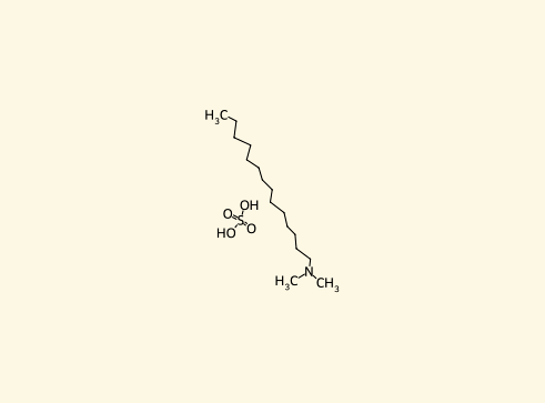 CCCCCCCCCCCCCCN(C)C.O=S(=O)(O)O